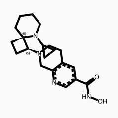 O=C(NO)c1cnc2c(c1)CCN([C@H]1CC[C@]13CCCCN3C1CC1)C2